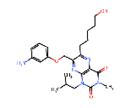 CC(C)Cn1c(=O)n(C)c(=O)c2nc(CCCCCO)c(COc3cccc(N)c3)nc21